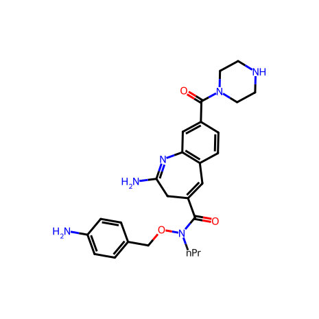 CCCN(OCc1ccc(N)cc1)C(=O)C1=Cc2ccc(C(=O)N3CCNCC3)cc2N=C(N)C1